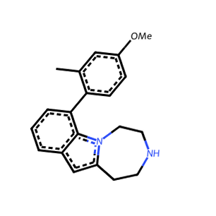 COc1ccc(-c2cccc3cc4n(c23)CCNCC4)c(C)c1